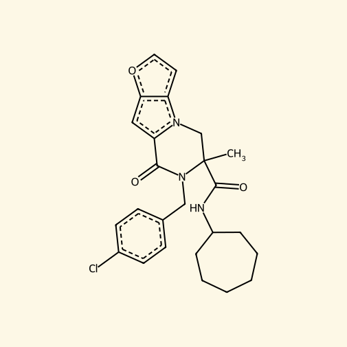 CC1(C(=O)NC2CCCCCC2)Cn2c(cc3occc32)C(=O)N1Cc1ccc(Cl)cc1